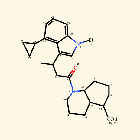 CCn1cc(C(C)CC(=O)N2CCCC3C(C(=O)O)CCCC32)c2c(C3CC3)cccc21